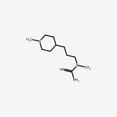 CN1CCC(CCCN(C)C(=N)N)CC1